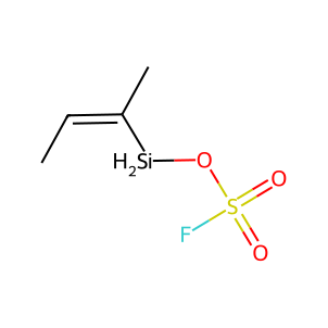 CC=C(C)[SiH2]OS(=O)(=O)F